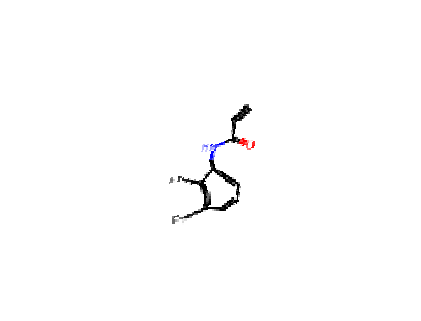 C=CC(=O)Nc1cccc(CC)c1CC